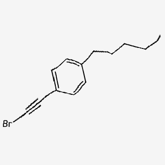 CCCCCc1ccc(C#CBr)cc1